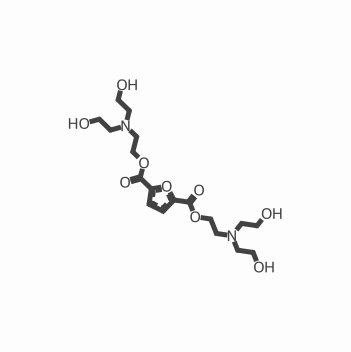 O=C(OCCN(CCO)CCO)c1ccc(C(=O)OCCN(CCO)CCO)o1